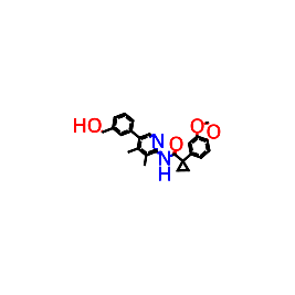 Cc1c(-c2cccc(CO)c2)cnc(NC(=O)C2(c3ccc4c(c3)OCO4)CC2)c1C